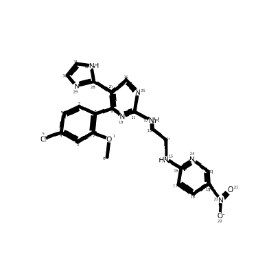 COc1cc(Cl)ccc1-c1nc(NCCNc2ccc([N+](=O)[O-])cn2)ncc1-c1ncc[nH]1